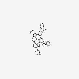 CC1(C)c2ccccc2-c2cc3c(cc21)-c1cc2c(oc4ccccc42)c(-c2nccc(-c4cccnc4)n2)c1-c1cccc2c4ccccc4n-3c12